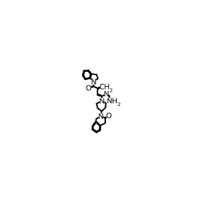 C=C(/C=C(\N=C/N)N1CCC(N2Cc3ccccc3CC2=O)CC1)C(=O)N1CCc2ccccc21